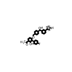 CC(=O)c1ccc(OCc2ccc(C(O)c3cccc(-c4nn[nH]n4)c3)cc2)c(-c2ccc(F)cc2)c1O